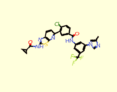 Cc1cn(-c2cc(NC(=O)c3ccc(Cl)c(-c4ccc5nc(NC(=O)C6CC6)sc5n4)c3)cc(C(F)(F)F)c2)cn1